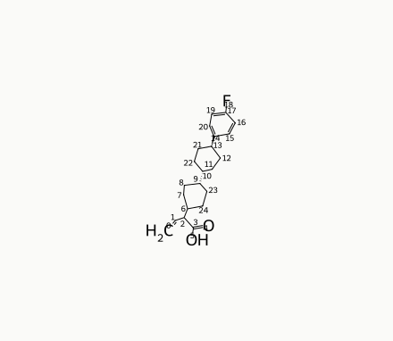 C=CC(C(=O)O)C1CCC([C@H]2CC[C@H](c3ccc(F)cc3)CC2)CC1